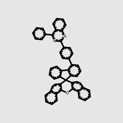 c1ccc(-c2nc(-c3ccc(-c4cccc5c4-c4ccccc4C54c5ccc6ccccc6c5Oc5c4ccc4ccccc54)cc3)nc3ccccc23)cc1